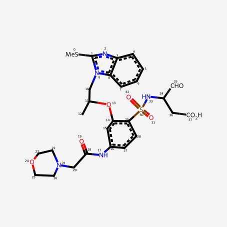 CSc1nc2ccccc2n1CC(C)Oc1cc(NC(=O)CN2CCOCC2)ccc1S(=O)(=O)NC(C=O)CC(=O)O